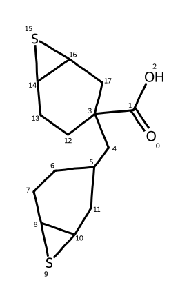 O=C(O)C1(CC2CCC3SC3C2)CCC2SC2C1